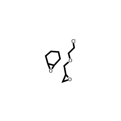 C1CCC2OC2C1.ClCCOCC1CO1